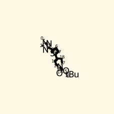 Cn1cnc(-c2ccc(C3=CCN(C(=O)OC(C)(C)C)CC3)s2)n1